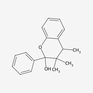 CC1c2ccccc2OC(O)(c2ccccc2)C1(C)C